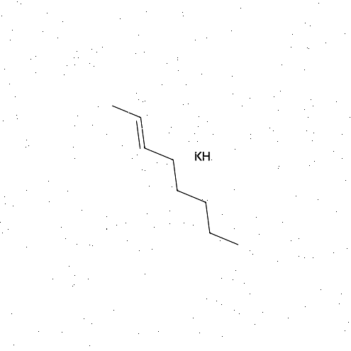 CC=CCCCCC.[KH]